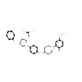 COc1ccc(F)c(N2CCC(Oc3ccc(N4C[C@H](Oc5ccccc5)C[C@@H]4CC(=O)O)cc3)CC2)c1